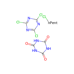 CCCCCCl.Clc1nc(Cl)nc(Cl)n1.O=c1[nH]c(=O)[nH]c(=O)[nH]1